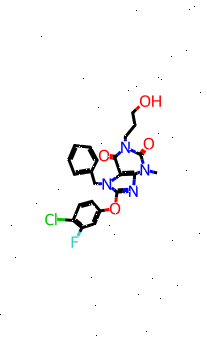 Cn1c(=O)n(CCCO)c(=O)c2c1nc(Oc1ccc(Cl)c(F)c1)n2Cc1ccccc1